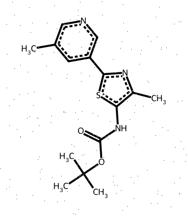 Cc1cncc(-c2nc(C)c(NC(=O)OC(C)(C)C)s2)c1